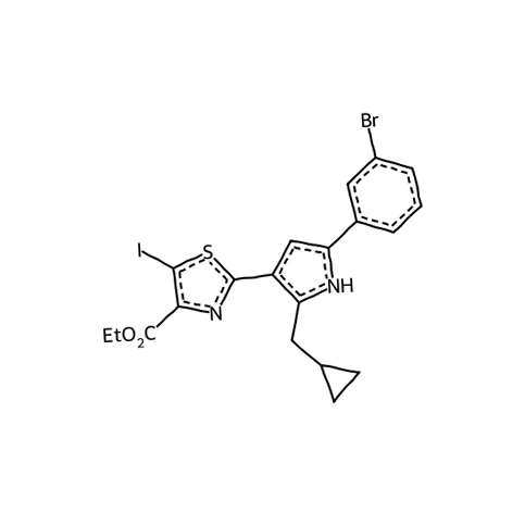 CCOC(=O)c1nc(-c2cc(-c3cccc(Br)c3)[nH]c2CC2CC2)sc1I